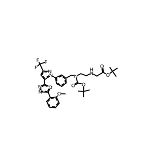 COc1ccccc1-c1nnc(-c2cc(C(F)(F)F)nn2-c2cccc(CN(CCNCC(=O)OC(C)(C)C)C(=O)OC(C)(C)C)c2)o1